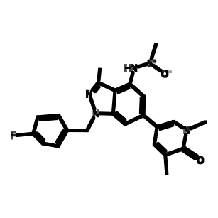 Cc1cc(-c2cc(N[S+](C)[O-])c3c(C)nn(Cc4ccc(F)cc4)c3c2)cn(C)c1=O